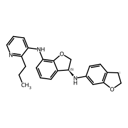 CCCc1ncccc1Nc1cccc2c1OC[C@H]2Nc1ccc2c(c1)OC[C]2